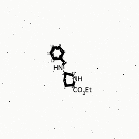 CCOC(=O)[C@@H]1CC[C@H](NCc2ccccc2)CN1